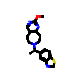 COc1ncc2c(n1)CCN([C@H](C)c1ccc3scnc3c1)CC2